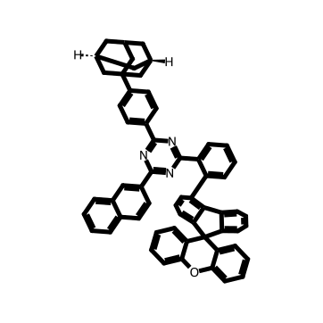 c1ccc2c(c1)Oc1ccccc1C21c2ccccc2-c2c(-c3ccccc3-c3nc(-c4ccc(C56CC7C[C@H](C5)C[C@H](C7)C6)cc4)nc(-c4ccc5ccccc5c4)n3)cccc21